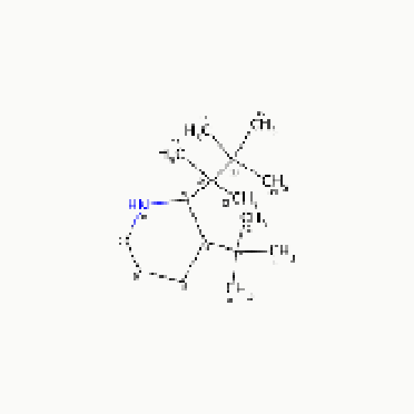 CC(C)(C)C1CCCNC1C(C)(C)C(C)(C)C